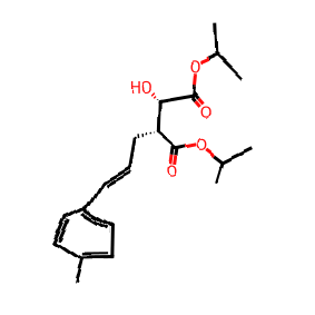 Cc1ccc(/C=C/C[C@@H](C(=O)OC(C)C)[C@H](O)C(=O)OC(C)C)cc1